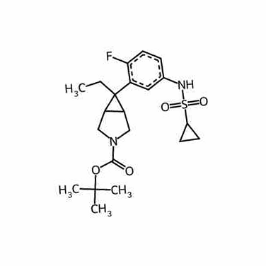 CCC1(c2cc(NS(=O)(=O)C3CC3)ccc2F)C2CN(C(=O)OC(C)(C)C)CC21